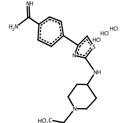 Cl.Cl.Cl.N=C(N)c1ccc(-c2csc(NC3CCN(CC(=O)O)CC3)n2)cc1